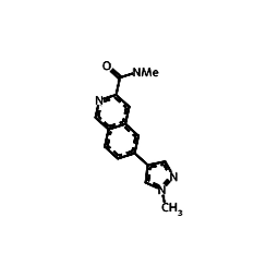 CNC(=O)c1cc2cc(-c3cnn(C)c3)ccc2cn1